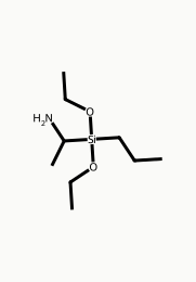 CCC[Si](OCC)(OCC)C(C)N